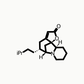 CC(C)CC[C@@H]1CC2=CC(=O)O[C@@]23C[C@@H]1N1CCCC[C@@H]13